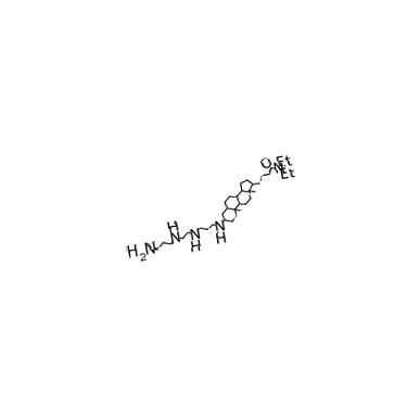 CCN(CC)C(=O)CCCC1CCC2C3CCC4CC(NCCCNCCNCCCN)CCC4(C)C3CCC12C